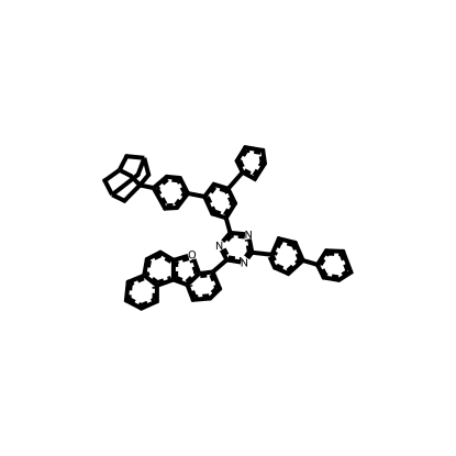 c1ccc(-c2ccc(-c3nc(-c4cc(-c5ccccc5)cc(-c5ccc(C67CC8CC(CC(C8)C6)C7)cc5)c4)nc(-c4cccc5c4oc4ccc6ccccc6c45)n3)cc2)cc1